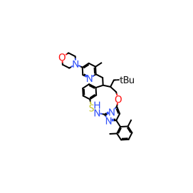 Cc1cc(N2CCOCC2)cnc1CC1c2cccc(c2)SNc2nc(cc(-c3c(C)cccc3C)n2)OCC1CC(C)(C)C